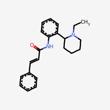 CCN1CCCCC1c1ccccc1NC(=O)C=Cc1ccccc1